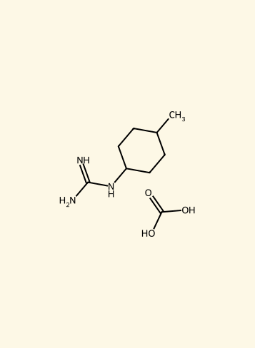 CC1CCC(NC(=N)N)CC1.O=C(O)O